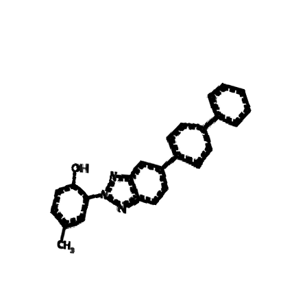 Cc1ccc(O)c(-n2nc3ccc(-c4ccc(-c5ccccc5)cc4)cc3n2)c1